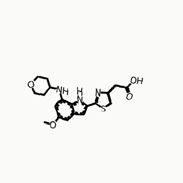 COc1cc(NC2CCOCC2)c2[nH]c(C3=NC(CC(=O)O)CS3)cc2c1